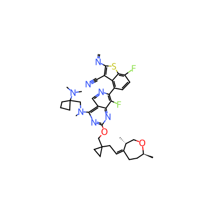 C=Nc1sc2c(F)ccc(-c3ncc4c(N(C)CC5(N(C)C)CCC5)nc(OCC5(C/C=C6/CC[C@H](C)OC[C@H]6C)CC5)nc4c3F)c2c1C#N